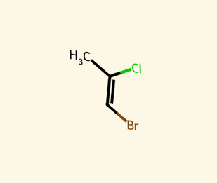 CC(Cl)=CBr